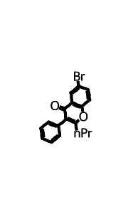 CCCc1oc2ccc(Br)cc2c(=O)c1-c1ccccc1